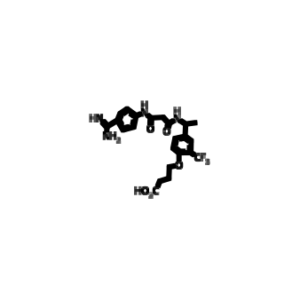 CC(NC(=O)CC(=O)Nc1ccc(C(=N)N)cc1)c1ccc(OCCCC(=O)O)c(C(F)(F)F)c1